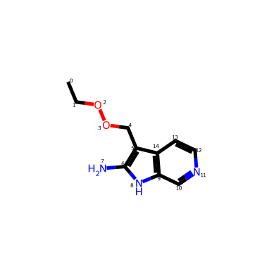 CCOOCc1c(N)[nH]c2cnccc12